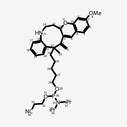 C=C1C2=Cc3ccc(OC)cc3OC2CCNc2ccccc2C1(C)CCCCCOP(OCCC#N)N(C(C)C)C(C)C